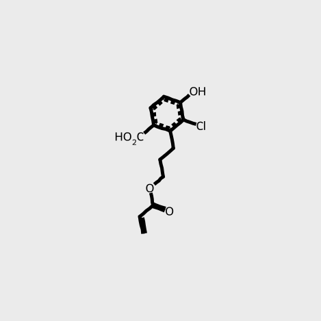 C=CC(=O)OCCCc1c(C(=O)O)ccc(O)c1Cl